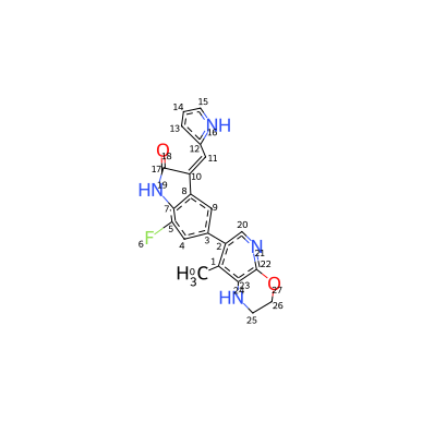 Cc1c(-c2cc(F)c3c(c2)C(=Cc2ccc[nH]2)C(=O)N3)cnc2c1NCCO2